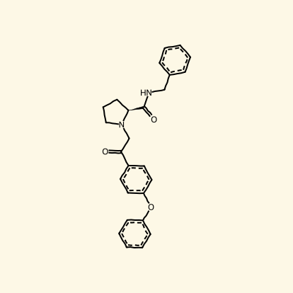 O=C(CN1CCC[C@H]1C(=O)NCc1ccccc1)c1ccc(Oc2ccccc2)cc1